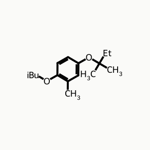 CCC(C)Oc1ccc(OC(C)(C)CC)cc1C